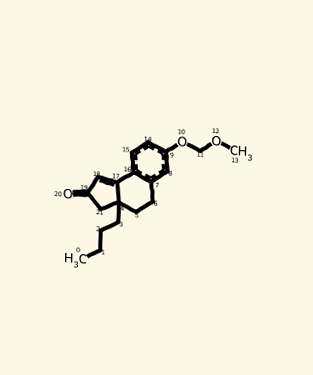 CCCCC12CCc3cc(OCOC)ccc3C1=CC(=O)C2